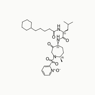 CC(C)C[C@H](NC(=O)CCCCC1CCCCC1)C(=O)N[C@H]1CC[C@@H](C)N(S(=O)(=O)c2cccc[n+]2[O-])CC1=O